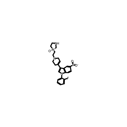 O=[N+]([O-])c1ccc2c(c1)c(C1=CCN(CC[N+]3([O-])CCNC3)CC1)cn2-c1ccccc1F